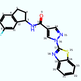 O=C(NC1CCc2ccc(F)cc21)c1cnn(-c2nc3ccccc3s2)c1